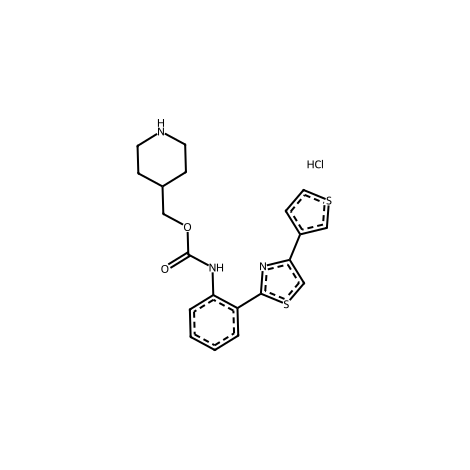 Cl.O=C(Nc1ccccc1-c1nc(-c2ccsc2)cs1)OCC1CCNCC1